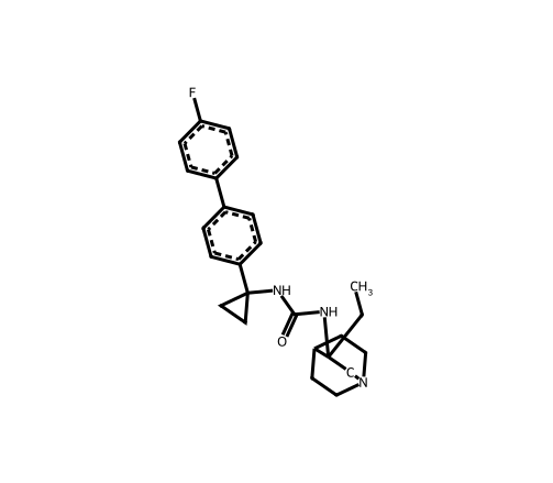 CCC1(NC(=O)NC2(c3ccc(-c4ccc(F)cc4)cc3)CC2)CN2CCC1CC2